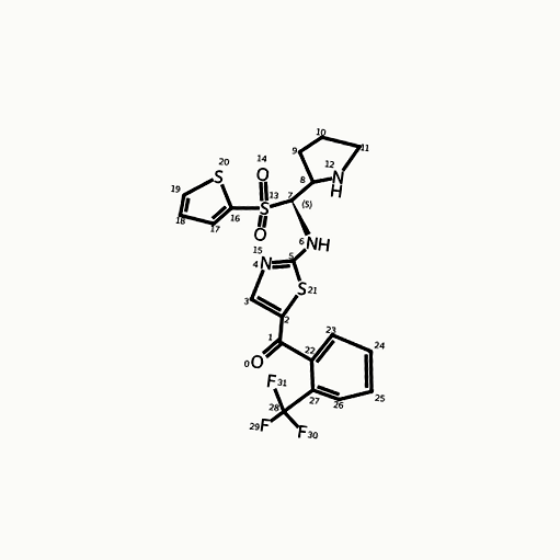 O=C(c1cnc(N[C@H](C2CCCN2)S(=O)(=O)c2cccs2)s1)c1ccccc1C(F)(F)F